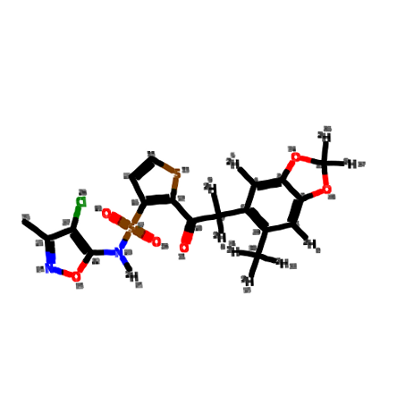 [2H]c1c2c(c([2H])c(C([2H])([2H])C(=O)c3sccc3S(=O)(=O)N([2H])c3onc(C)c3Cl)c1C([2H])([2H])[2H])OC([2H])([2H])O2